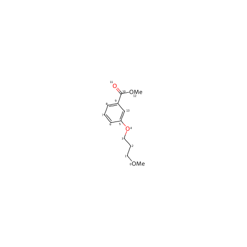 COCCCOc1cccc(C(=O)OC)c1